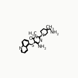 Cn1c(N2CCC(C)(CN)CC2)nc(N)c(Sc2cccc3ncccc23)c1=O